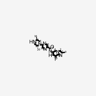 Cc1cn2cc(NC(=O)c3cnc(N4C[C@H](C)NC[C@H]4C)cn3)cc(F)c2n1